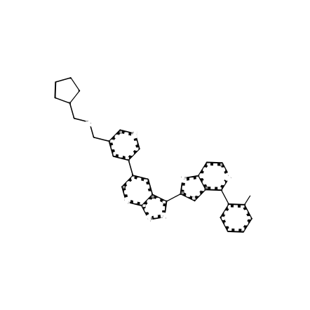 Fc1ccccc1-c1nccc2[nH]c(-c3n[nH]c4ncc(-c5cncc(CNCC6CCCC6)c5)cc34)cc12